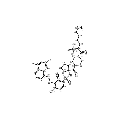 Cc1cc(C)c2cccc(OCc3c(Cl)ccc(S(=O)(=O)NC4(C(=O)N5CCN(C(=O)[C@H](CCCCN)[N+](C)(C)C)CC5)CCCC4)c3Cl)c2n1